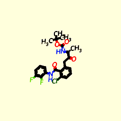 C[C@H](NC(=O)OC(C)(C)C)C(=O)Cc1cccc(Cl)c1C(=O)Nc1cccc(F)c1F